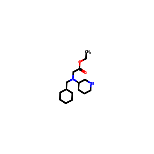 CCOC(=O)CN(CC1CCCCC1)[C@@H]1CCCNC1